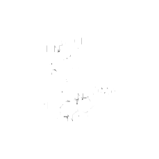 COc1ccc2ncc(F)c(CC[C@@H]3CC[C@@H](NC(=O)O)CO3)c2n1